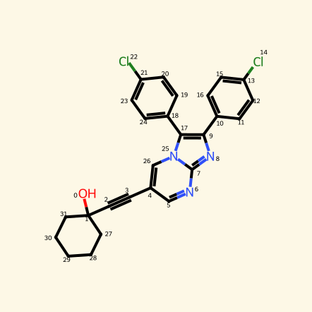 OC1(C#Cc2cnc3nc(-c4ccc(Cl)cc4)c(-c4ccc(Cl)cc4)n3c2)CCCCC1